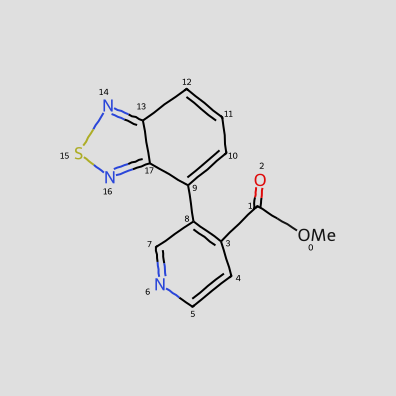 COC(=O)c1ccncc1-c1cccc2nsnc12